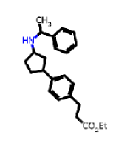 CCOC(=O)CCc1ccc(C2CCC(NC(C)c3ccccc3)C2)cc1